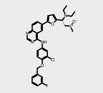 CCN(CC)[C@H](C[S+](C)[O-])c1ccc(-c2ccc3ncnc(Nc4ccc(OCc5cccc(F)c5)c(Cl)c4)c3c2)o1